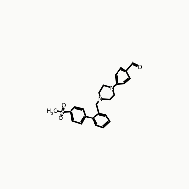 CS(=O)(=O)c1ccc(-c2ccccc2CN2CCN(c3ccc([C]=O)cc3)CC2)cc1